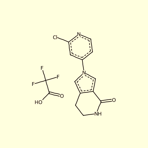 O=C(O)C(F)(F)F.O=C1NCCc2cn(-c3ccnc(Cl)c3)cc21